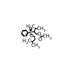 CC(=O)OCC(C(C)C)P(=O)(OCCC(C)C)c1ccccc1